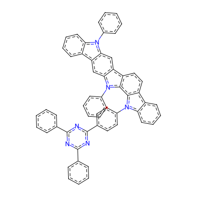 c1ccc(-c2nc(-c3ccccc3)nc(-c3ccc(-n4c5ccccc5c5ccc6c7cc8c(cc7n(-c7ccccc7)c6c54)c4ccccc4n8-c4ccccc4)cc3)n2)cc1